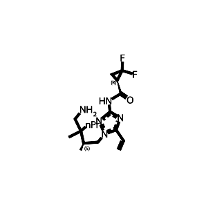 C=Cc1nc(NC(=O)[C@H]2CC2(F)F)nn1C[C@@H](C)C(C)(CN)CCC